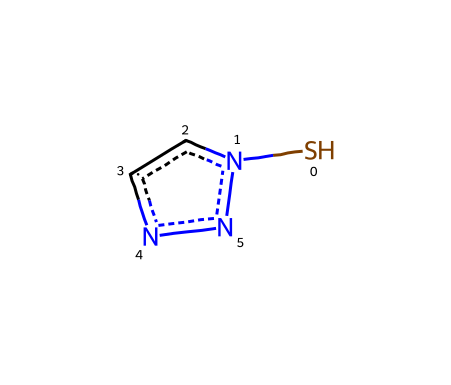 Sn1c[c]nn1